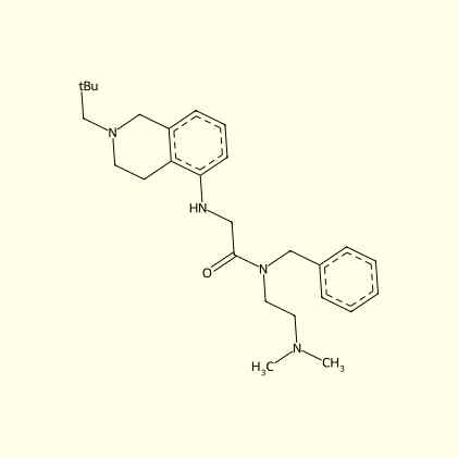 CN(C)CCN(Cc1ccccc1)C(=O)CNc1cccc2c1CCN(CC(C)(C)C)C2